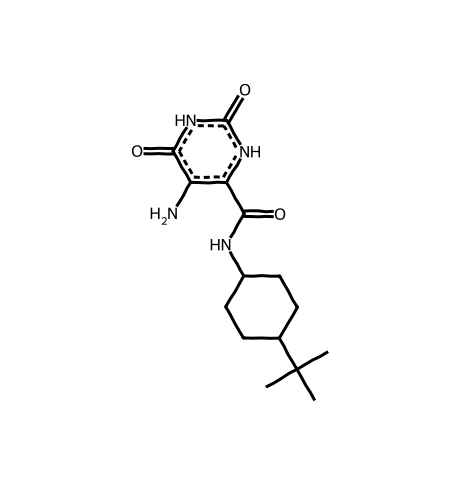 CC(C)(C)C1CCC(NC(=O)c2[nH]c(=O)[nH]c(=O)c2N)CC1